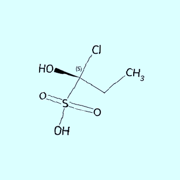 CC[C@@](O)(Cl)S(=O)(=O)O